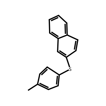 Cc1ccc(Sc2ccc3ccccc3c2)cc1